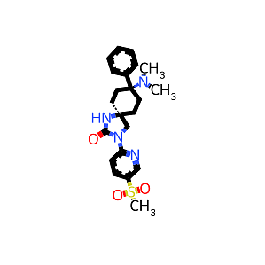 CN(C)[C@]1(c2ccccc2)CC[C@]2(CC1)CN(c1ccc(S(C)(=O)=O)cn1)C(=O)N2